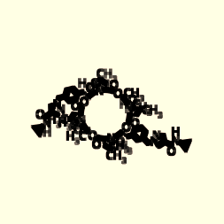 CC(C)C[C@H]1C(=O)O[C@H](Cc2cccc(Cn3cc(C(=O)NC4CC4)cn3)c2)C(=O)N(C)[C@@H](CC(C)C)C(=O)O[C@H](C)C(=O)N(C)[C@@H](CC(C)C)C(=O)O[C@H](Cc2ccc(Cn3cc(C(=O)NC4CC4)cn3)cc2)C(=O)N(C)[C@@H](CC(C)C)C(=O)O[C@H](C)C(=O)N1C